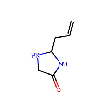 C=CCC1NCC(=O)N1